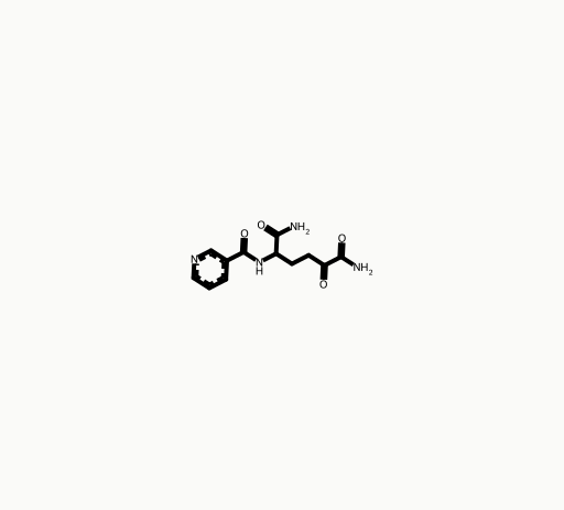 NC(=O)C(=O)CCC(NC(=O)c1cccnc1)C(N)=O